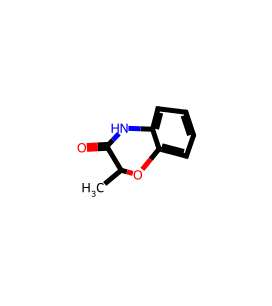 C[C]1Oc2ccccc2NC1=O